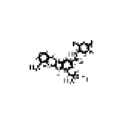 Cc1cccc(Cl)c1Nc1nc2cc(C(=O)Nc3cc(F)c(F)cc3F)c3c(c2[nH]1)CC(C)(C)O3